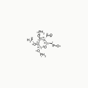 O=PC[C@H]1O[C@H](OP)[C@@H](OP)[C@@H](OP)[C@@H]1P=O